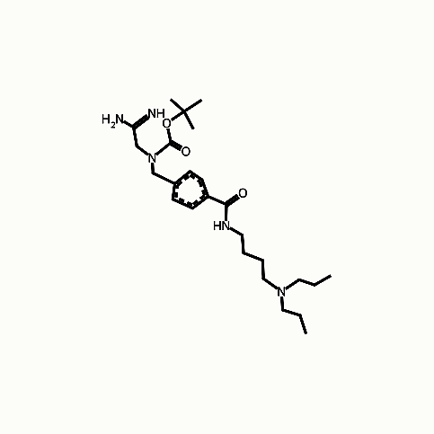 CCCN(CCC)CCCCNC(=O)c1ccc(CN(CC(=N)N)C(=O)OC(C)(C)C)cc1